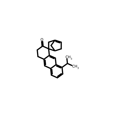 CC(C)c1cccc2cc3c(cc12)C1(CC2=CCC1C2)C(=O)CC3